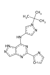 CC(C)(C)n1cc(Nc2nc(-c3ncco3)nc3cn[nH]c23)cn1